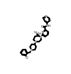 [2H]C1([2H])CCN(C2CCN(Cc3ccccc3Cl)CC2)CCN1c1cccc(C(=O)Nc2ccncc2)n1